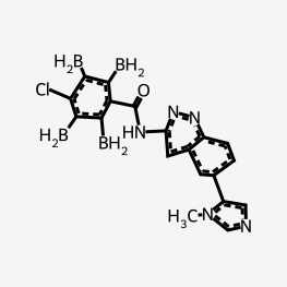 Bc1c(B)c(C(=O)Nc2cc3cc(-c4cncn4C)ccc3nn2)c(B)c(B)c1Cl